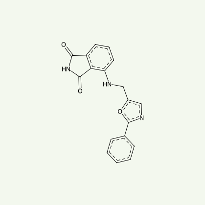 O=C1NC(=O)c2c(NCc3cnc(-c4ccccc4)o3)cccc21